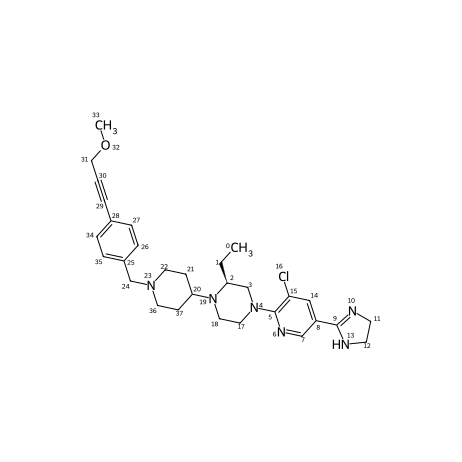 CC[C@H]1CN(c2ncc(C3=NCCN3)cc2Cl)CCN1C1CCN(Cc2ccc(C#CCOC)cc2)CC1